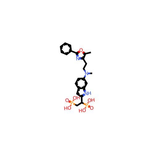 Cc1oc(-c2ccccc2)nc1CCN(C)c1ccc2cc(C(CP(=O)(O)O)P(=O)(O)O)[nH]c2c1